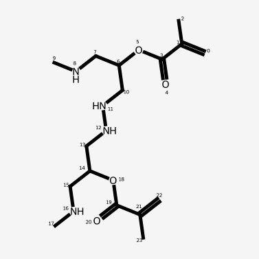 C=C(C)C(=O)OC(CNC)CNNCC(CNC)OC(=O)C(=C)C